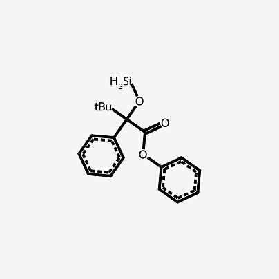 CC(C)(C)C(O[SiH3])(C(=O)Oc1ccccc1)c1ccccc1